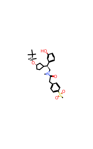 CN(C[C@H](c1cccc(O)c1)C1CC[C@H](O[Si](C)(C)C(C)(C)C)C1)C(=O)Cc1ccc(S(C)(=O)=O)cc1